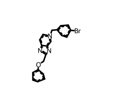 Brc1ccc(Cn2ccc3nc(COc4ccccc4)nc-3c2)cc1